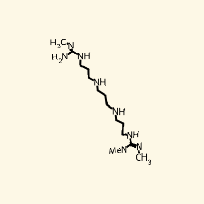 C/N=C(\N)NCCCNCCCNCCCN/C(=N/C)NC